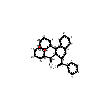 O=C(c1ccccc1)c1cc2ccccc2c(-c2ccccc2)c1C(=O)c1ccccc1